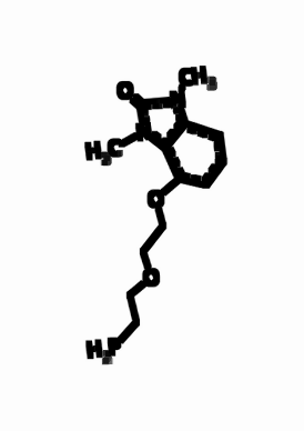 Cn1c(=O)n(C)c2c(OCCOCCP)cccc21